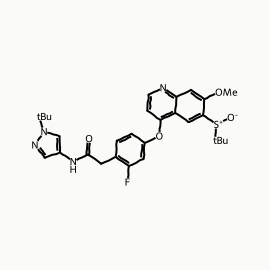 COc1cc2nccc(Oc3ccc(CC(=O)Nc4cnn(C(C)(C)C)c4)c(F)c3)c2cc1[S+]([O-])C(C)(C)C